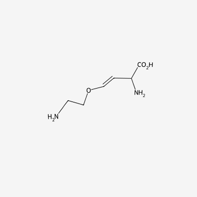 NCCOC=CC(N)C(=O)O